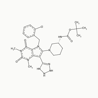 Cn1c(=O)c2c(c(C3=NNNN3)c(N3CCC[C@@H](NC(=O)OC(C)(C)C)C3)n2Cc2ccccc2Cl)n(C)c1=O